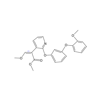 CO/C=C(\C(=O)OC)c1cccnc1Oc1cccc(Oc2ccccc2OC)c1